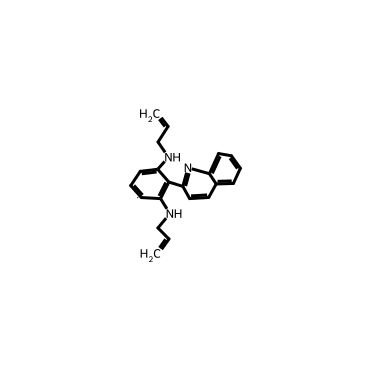 C=CCNc1[c]ccc(NCC=C)c1-c1ccc2ccccc2n1